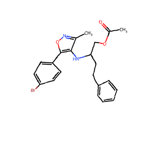 CC(=O)OCC(CCc1ccccc1)Nc1c(C)noc1-c1ccc(Br)cc1